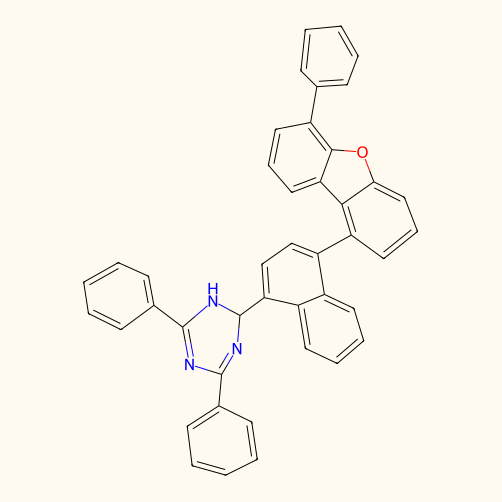 c1ccc(C2=NC(c3ccc(-c4cccc5oc6c(-c7ccccc7)cccc6c45)c4ccccc34)NC(c3ccccc3)=N2)cc1